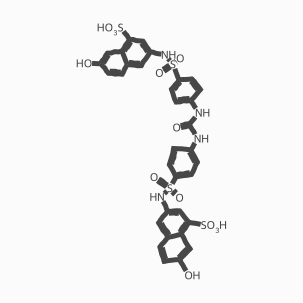 O=C(Nc1ccc(S(=O)(=O)Nc2cc(S(=O)(=O)O)c3cc(O)ccc3c2)cc1)Nc1ccc(S(=O)(=O)Nc2cc(S(=O)(=O)O)c3cc(O)ccc3c2)cc1